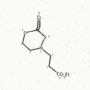 CCOC(=O)CCN1CCOC(=O)S1